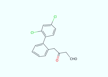 O=CCC(=O)Cc1ccccc1-c1ccc(Cl)cc1Cl